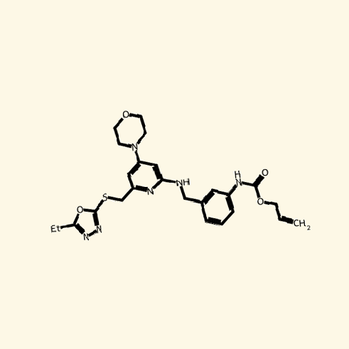 C=CCOC(=O)Nc1cccc(CNc2cc(N3CCOCC3)cc(CSc3nnc(CC)o3)n2)c1